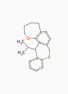 CC(C)C1c2ccccc2SCc2ccc3c(c21)OCCCC3